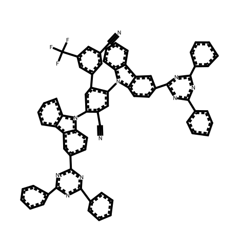 N#Cc1cc(-c2cc(-n3c4ccccc4c4cc(-c5nc(-c6ccccc6)nc(-c6ccccc6)n5)ccc43)c(C#N)cc2-n2c3ccccc3c3cc(-c4nc(-c5ccccc5)nc(-c5ccccc5)n4)ccc32)cc(C(F)(F)F)c1